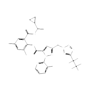 Cc1cc(I)cc(C(=O)NC(C)C2CC2)c1NC(=O)c1cc(Cn2nnc(C(F)(F)C(F)(F)F)n2)nn1-c1ncccc1Cl